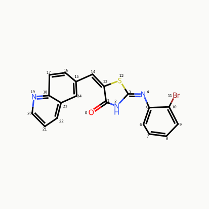 O=C1NC(=Nc2ccccc2Br)SC1=Cc1ccc2ncccc2c1